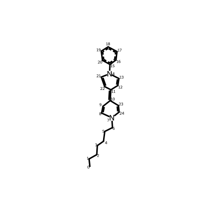 CCCCCCCN1C=CC(=C2C=CN(c3ccccc3)C=C2)C=C1